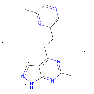 Cc1cncc(CCc2nc(C)nc3[nH]ncc23)n1